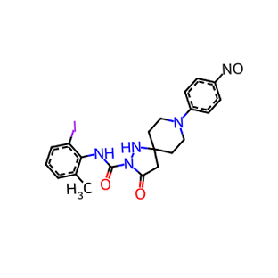 Cc1cccc(I)c1NC(=O)N1NC2(CCN(c3ccc(N=O)cc3)CC2)CC1=O